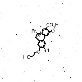 CC(C)[C@H]1Cc2cc(OCCO)c(Cl)cc2-c2cc(=O)c(C(=O)O)cn21